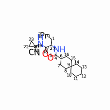 CC(C)CC(NC(=O)C1CCC2(CCCCC2)CC1)C(=O)NC1(C#N)CC1